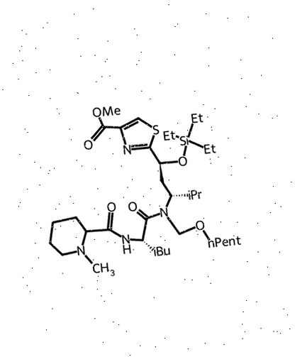 CCCCCOCN(C(=O)[C@@H](NC(=O)C1CCCCN1C)C(C)CC)[C@H](C[C@H](O[Si](CC)(CC)CC)c1nc(C(=O)OC)cs1)C(C)C